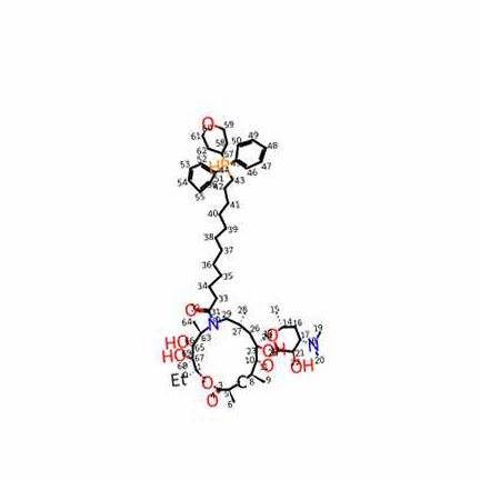 CC[C@H]1OC(=O)[C@H](C)C[C@H](C)[C@@H](O[C@@H]2O[C@H](C)C[C@H](N(C)C)[C@H]2O)[C@](C)(O)C[C@@H](C)CN(C(=O)CCCCCCCCCCC[PH](c2ccccc2)(c2ccccc2)C2CCOCC2)[C@H](C)[C@@H](O)[C@]1(C)O